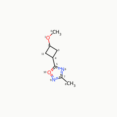 COC1CC(c2nc(C)no2)C1